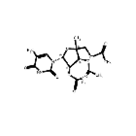 CC(=O)OC[C@@]1(C)O[C@@H](n2cc(C)c(=O)[nH]c2=O)[C@H](OC(C)=O)[C@@H]1OC(C)=O